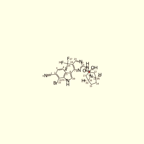 N#Cc1ccc2c(-c3nc(NC4C[C@H]5CC[C@@H](C4)N5C(=O)O)ncc3C(F)(F)F)c[nH]c2c1Br